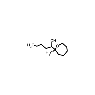 CCCCC(O)C1(C)CCCCCO1